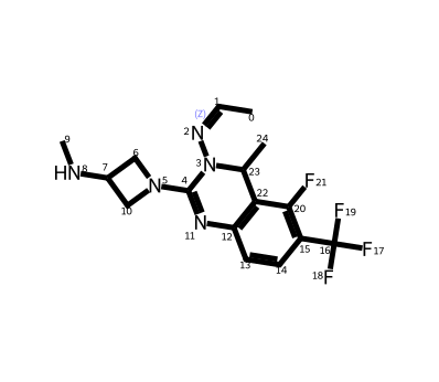 C/C=N\N1C(N2CC(NC)C2)=Nc2ccc(C(F)(F)F)c(F)c2C1C